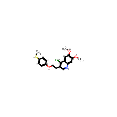 COc1cc2ncc(CCOc3ccc(SC)cc3)c(Cl)c2cc1OC